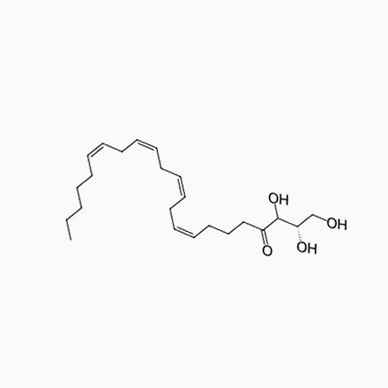 CCCCC/C=C\C/C=C\C/C=C\C/C=C\CCCC(=O)C(O)[C@@H](O)CO